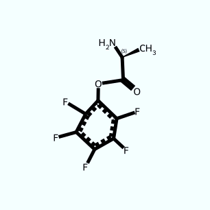 C[C@H](N)C(=O)Oc1c(F)c(F)c(F)c(F)c1F